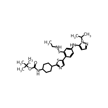 CCNSc1cc(Nc2ccnn2C(C)C)ccc1-c1cnc(C2CCC(NC(=O)OC(C)(C)C)CC2)s1